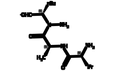 CCCC[C@@H]([C]=O)N(N)C(=O)[C@H](C)NC(=O)[C@@H](N)C(C)C